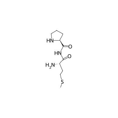 CSCC[C@H](N)C(=O)NC(=O)[C@@H]1CCCN1